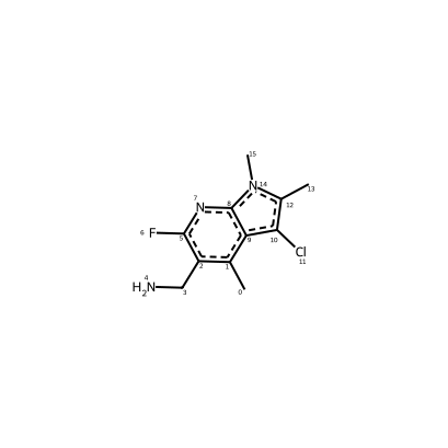 Cc1c(CN)c(F)nc2c1c(Cl)c(C)n2C